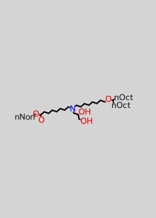 CCCCCCCCCOC(=O)CCCCCCCN(CCCCCCCCOC(CCCCCCCC)CCCCCCCC)CC(O)CO